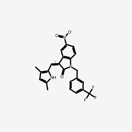 Cc1cc(C)c(/C=C2\C(=O)N(Cc3cccc(C(F)(F)F)c3)c3ccc([N+](=O)[O-])cc32)[nH]1